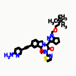 C[Si](C)(C)CCOCn1nc(C(C(=O)Nc2nccs2)N2Cc3ccc(C#Cc4ccc(N)nc4)cc3C2=O)c2c1CCC2